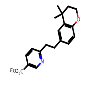 CCOC(=O)c1ccc(CCc2ccc3c(c2)C(C)(C)CCO3)nc1